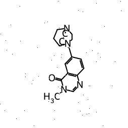 Cn1cnc2ccc(N3CCN4CCC3CC4)cc2c1=O